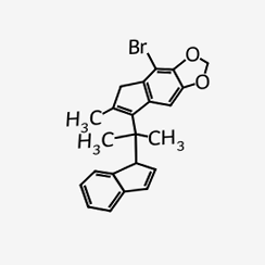 CC1=C(C(C)(C)C2C=Cc3ccccc32)c2cc3c(c(Br)c2C1)OCO3